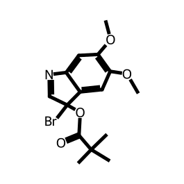 COc1cc2c(cc1OC)C(Br)(OC(=O)C(C)(C)C)C=N2